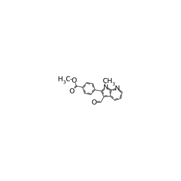 COC(=O)c1ccc(-c2c(C=O)c3cccnc3n2C)cc1